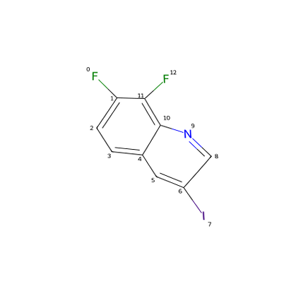 Fc1ccc2cc(I)cnc2c1F